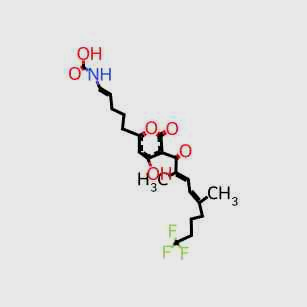 C/C(=C\C=C(/C)C(=O)c1c(O)cc(CCC/C=C/NC(=O)O)oc1=O)CCCC(F)(F)F